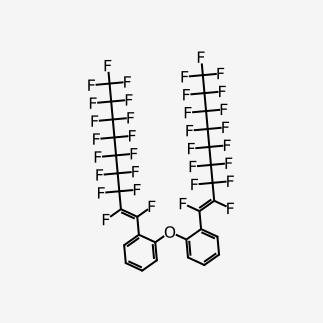 FC(=C(F)C(F)(F)C(F)(F)C(F)(F)C(F)(F)C(F)(F)C(F)(F)C(F)(F)F)c1ccccc1Oc1ccccc1C(F)=C(F)C(F)(F)C(F)(F)C(F)(F)C(F)(F)C(F)(F)C(F)(F)C(F)(F)F